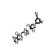 Cn1cnc2ncn(Cc3nc([C@@H]4[C@@H]5CN(c6cc(F)cc(C#N)c6)C[C@@H]54)no3)c(=O)c21